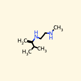 C=C(NCCNC)C(C)C